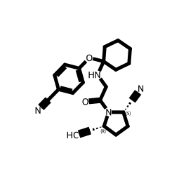 C#C[C@H]1CC[C@@H](C#N)N1C(=O)CNC1(Oc2ccc(C#N)cc2)CCCCC1